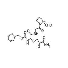 NC(=O)C(=O)CCC(NC(=O)OCc1ccccc1)C(=O)NCC(=O)N1CCC[C@H]1C=O